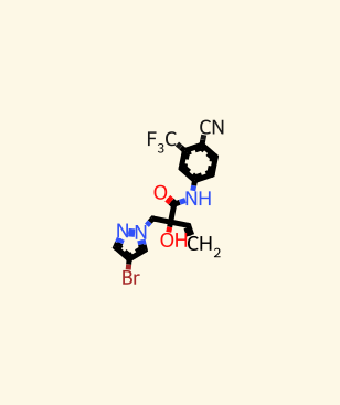 C=CC(O)(Cn1cc(Br)cn1)C(=O)Nc1ccc(C#N)c(C(F)(F)F)c1